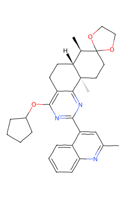 Cc1cc(-c2nc(OC3CCCC3)c3c(n2)[C@]2(C)CCC4(OCCO4)[C@H](C)[C@H]2CC3)c2ccccc2n1